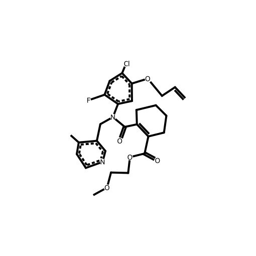 C=CCOc1cc(N(Cc2cnccc2C)C(=O)C2=C(C(=O)OCCOC)CCCC2)c(F)cc1Cl